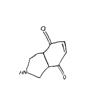 O=C1C=CC(=O)C2CNCC12